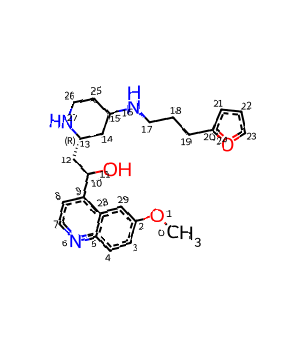 COc1ccc2nccc(C(O)C[C@H]3CC(NCCCc4ccco4)CCN3)c2c1